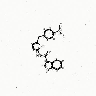 O=C(Nc1ncc(Cc2ccc([N+](=O)[O-])cc2)s1)c1coc2ccccc12